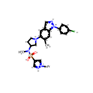 CCCn1cc(S(=O)(=O)N(C)C2CCN(c3cc4cnn(-c5ccc(F)cc5)c4cc3C)C2)cn1